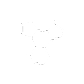 c1cnc2c(c1)c1ncnc-1c1[nH]nnn12